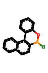 ClP1Oc2ccccc2-c2c1ccc1ccccc21